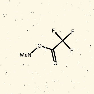 CNOC(=O)C(F)(F)F